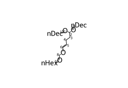 CCCCCCCCCCOC(CCC=COCOCCCCCC)OCCCCCCCCCC